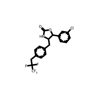 O=C1NC(Cc2ccc(CC(F)(F)C(F)(F)F)cc2)C(c2cccc(Cl)c2)O1